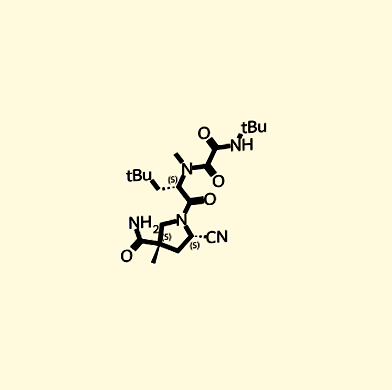 CN(C(=O)C(=O)NC(C)(C)C)[C@@H](CC(C)(C)C)C(=O)N1C[C@@](C)(C(N)=O)C[C@H]1C#N